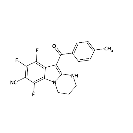 Cc1ccc(C(=O)c2c3n(c4c(F)c(C#N)c(F)c(F)c24)CCCN3)cc1